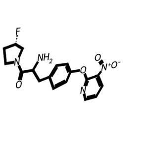 NC(Cc1ccc(Oc2ncccc2[N+](=O)[O-])cc1)C(=O)N1CC[C@H](F)C1